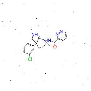 CC1(NC(=O)c2cccnn2)CCC(CN)(c2cccc(Cl)c2)CC1